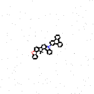 CC1(C)c2c(ccc3oc4ccccc4c23)-c2ccc3c(c21)c1ccccc1n3-c1ccc2c3ccccc3c3ccccc3c2c1